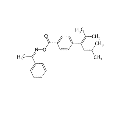 CC(C)=CC(=C(C)C)c1ccc(C(=O)O/N=C(/C)c2ccccc2)cc1